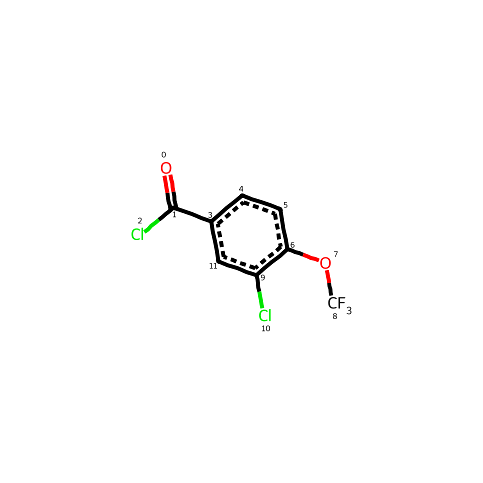 O=C(Cl)c1ccc(OC(F)(F)F)c(Cl)c1